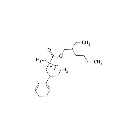 CCCCC(CC)COC(=O)C(C)(C)CC(CC)c1ccccc1